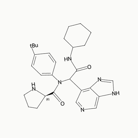 CC(C)(C)c1ccc(N(C(=O)[C@H]2CCCN2)C(C(=O)NC2CCCCC2)c2cncc3[nH]cnc23)cc1